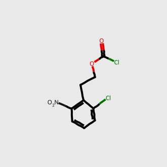 O=C(Cl)OCCc1c(Cl)cccc1[N+](=O)[O-]